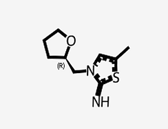 Cc1cn(C[C@H]2CCCO2)c(=N)s1